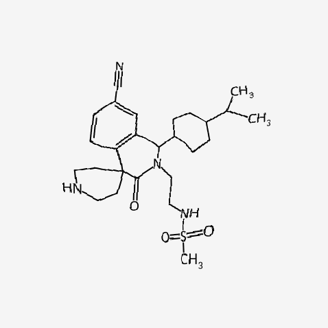 CC(C)C1CCC(C2c3cc(C#N)ccc3C3(CCNCC3)C(=O)N2CCNS(C)(=O)=O)CC1